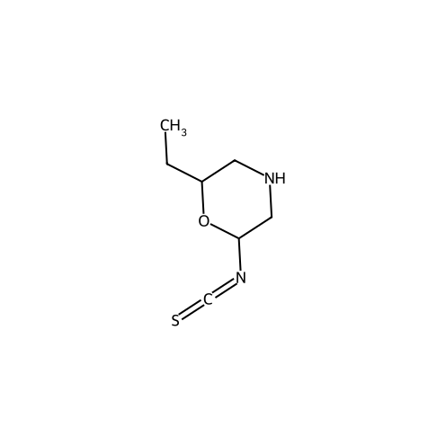 CCC1CNCC(N=C=S)O1